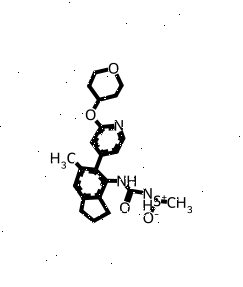 Cc1cc2c(c(NC(=O)N[S+](C)[O-])c1-c1ccnc(OC3CCOCC3)c1)CCC2